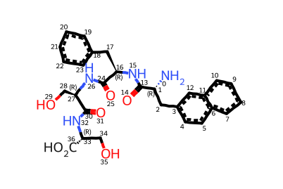 N[C@H](Cc1ccc2ccccc2c1)C(=O)N[C@H](Cc1ccccc1)C(=O)N[C@H](CO)C(=O)N[C@H](CO)C(=O)O